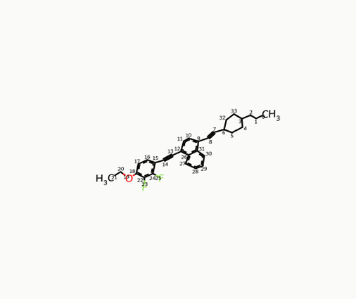 CCCC1CCC(C#Cc2ccc(C#Cc3ccc(OCC)c(F)c3F)c3ccccc23)CC1